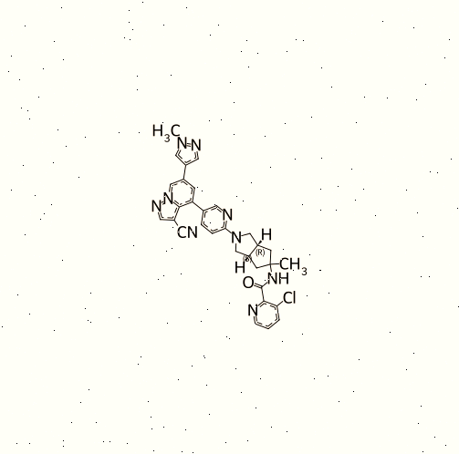 Cn1cc(-c2cc(-c3ccc(N4C[C@@H]5CC(C)(NC(=O)c6ncccc6Cl)C[C@@H]5C4)nc3)c3c(C#N)cnn3c2)cn1